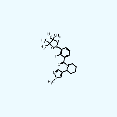 Cn1cc(C2CCCCN2C(=O)c2cccc(B3OC(C)(C)C(C)(C)O3)c2F)cn1